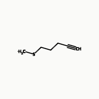 C#CCCCS[CH2]